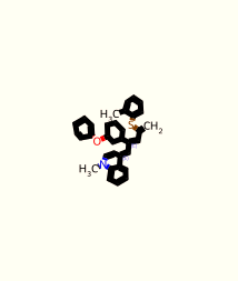 C=C(/C=C(/C=C1\C=CN(C)c2ccccc21)C1CCCC(Oc2ccccc2)C1)Sc1ccccc1C